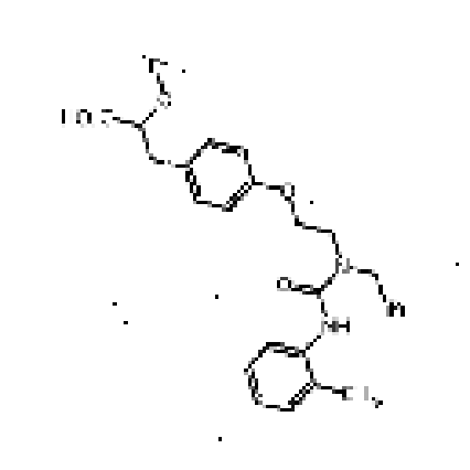 CCOC(Cc1ccc(OCCN(CC(C)C)C(=O)Nc2ccccc2C)cc1)C(=O)O